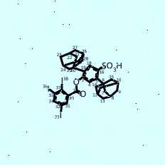 O=C(Oc1cc(C23CC4CC(CC(C4)C2)C3)c(S(=O)(=O)O)cc1C12CC3CC(CC(C3)C1)C2)c1cc(I)cc(I)c1I